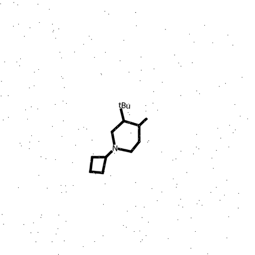 CC1CCN(C2CCC2)CC1C(C)(C)C